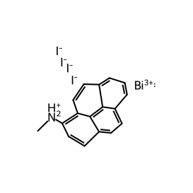 C[NH2+]c1ccc2ccc3cccc4ccc1c2c34.[Bi+3].[I-].[I-].[I-].[I-]